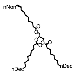 CCCCCCCCC/C=C\CCCCCCCC(=O)OC[C@@H](COC(=O)CCCCCCCCCCCCCCCCC)OC(=O)CCCCCCCCCCCCCCCCCC